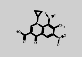 Cc1c([N+](=O)[O-])cc2c(=O)c(C(=O)O)cn(C3CC3)c2c1[N+](=O)[O-]